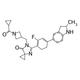 CC1Cc2cc(C3=CC(F)=C(C4=NC5(CC5)C(=O)N4CC4CN(C(=O)C5CC5)C4)CC3)ccc2N1